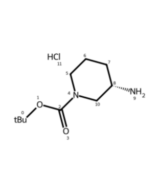 CC(C)(C)OC(=O)N1CCC[C@H](N)C1.Cl